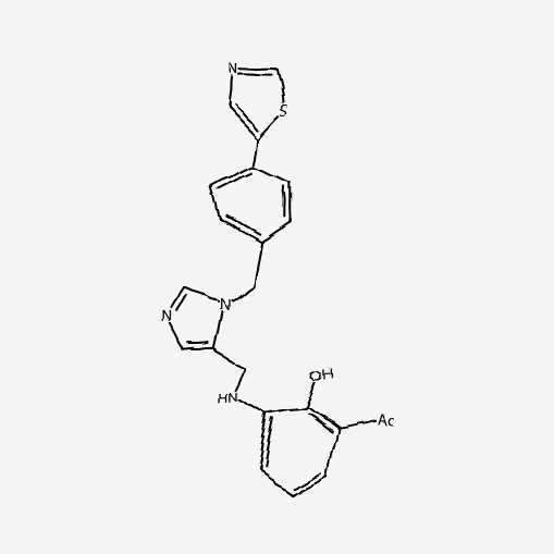 CC(=O)c1cccc(NCc2cncn2Cc2ccc(-c3cncs3)cc2)c1O